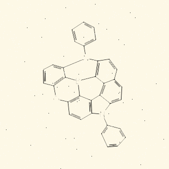 c1ccc(N2c3cccc4c3B3c5c2ccc2ccc6c(c52)c2c3c(ccc2n6-c2ccccc2)O4)cc1